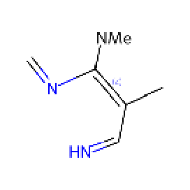 C=N/C(NC)=C(/C)C=N